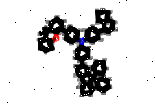 CC1(C)c2ccccc2Oc2c(-c3ccc(N(c4ccc(-c5ccc6c(c5)C(c5ccccc5)(c5ccccc5)c5ccccc5-6)cc4)c4ccc(-c5cccc6ccccc56)cc4)cc3)cccc21